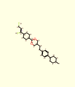 CC1CCC(c2ccc(CCC3COC(C4CCC(/C(F)=C/CF)CC4)OC3)cc2)CC1